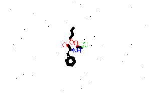 CCCCOC(=O)[C@H](Cc1ccccc1)NC(=O)CCl